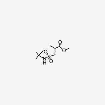 COC(=O)C(C)CS(=O)(=O)NC(C)(C)C